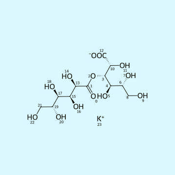 O=C(O[C@@H]([C@H](O)[C@H](O)CO)[C@@H](O)C(=O)[O-])[C@H](O)[C@@H](O)[C@H](O)[C@H](O)CO.[K+]